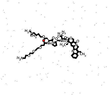 CCc1c2c(nc3ccccc13)-c1cc3c(c(=O)n1C2)COC(=O)[C@@]3(CC)OC(=O)[C@@H](NC(=O)[C@@H]1CCCN1C(=O)[C@H](CC(=O)OCCCCN(C)C)NC(=O)CCOCCOCCOCCN)C(C)C